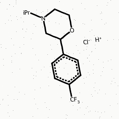 CC(C)N1CCOC(c2ccc(C(F)(F)F)cc2)C1.[Cl-].[H+]